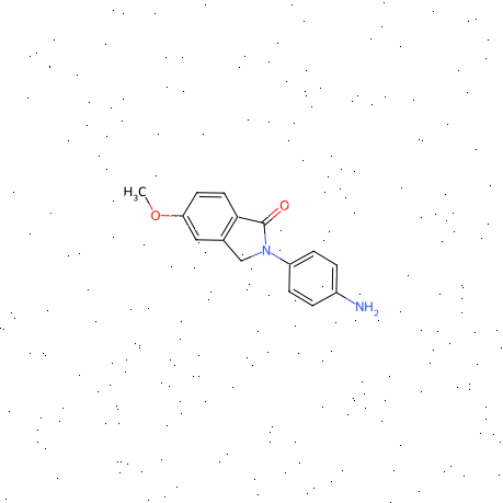 COc1ccc2c(c1)CN(c1ccc(N)cc1)C2=O